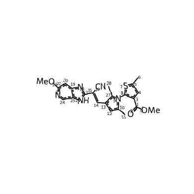 COC(=O)c1cc(C)sc1-n1c(C)cc(/C=C(\C#N)c2nc3cc(OC)ncc3[nH]2)c1C